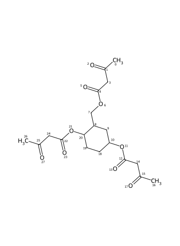 CC(=O)CC(=O)OCC1CC(OC(=O)CC(C)=O)CCC1OC(=O)CC(C)=O